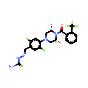 C[C@@H]1CN(c2cc(F)c(C=NNC(N)=S)cc2F)C[C@H](C)N1C(=O)c1ccccc1C(F)(F)F